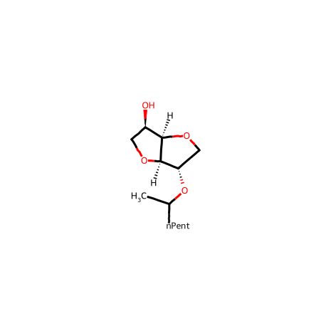 CCCCCC(C)O[C@H]1CO[C@H]2[C@@H]1OC[C@H]2O